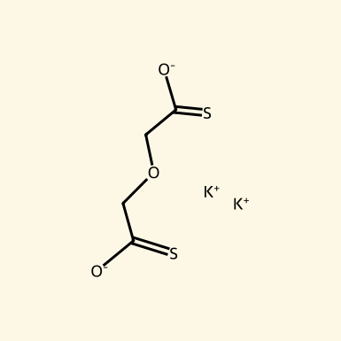 [K+].[K+].[O-]C(=S)COCC([O-])=S